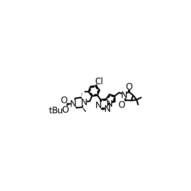 Cc1cc(Cl)cc(-c2ncnn3cc(CN4C(=O)C5C(C4=O)C5(C)C)cc23)c1CN1[C@@H](C)CN(C(=O)OC(C)(C)C)C[C@@H]1C